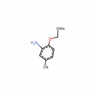 COCOc1ccc(C#N)cc1N